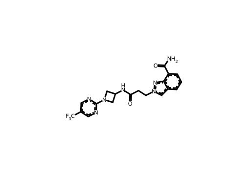 NC(=O)c1cccc2cn(CCC(=O)NC3CN(c4ncc(C(F)(F)F)cn4)C3)nc12